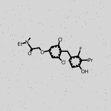 CCN(C)C(=O)COc1cc(Cl)c(Cc2ccc(O)c(C(C)C)c2F)c(Cl)c1